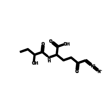 CCC(O)C(=O)NC(CCC(=O)C=[N+]=[N-])C(=O)O